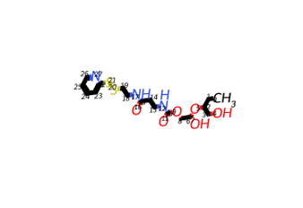 CCC(CO)OC(O)COC(=O)NCCC(=O)NCCSSc1ccccn1